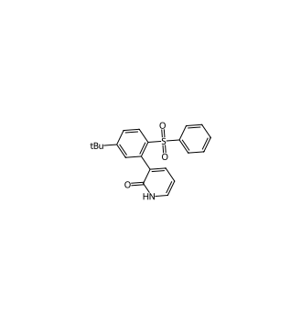 CC(C)(C)c1ccc(S(=O)(=O)c2ccccc2)c(-c2ccc[nH]c2=O)c1